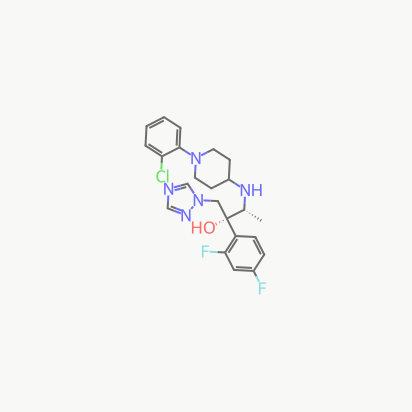 C[C@@H](NC1CCN(c2ccccc2Cl)CC1)[C@](O)(Cn1cncn1)c1ccc(F)cc1F